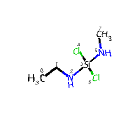 CCN[Si](Cl)(Cl)NC